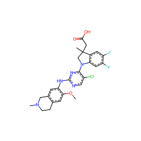 COc1cc2c(cc1Nc1ncc(Cl)c(N3CC(C)(CC(=O)O)c4cc(F)c(F)cc43)n1)CN(C)CC2